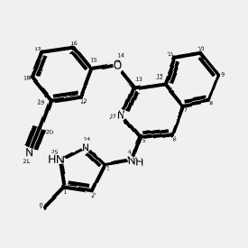 Cc1cc(Nc2cc3ccccc3c(Oc3cccc(C#N)c3)n2)n[nH]1